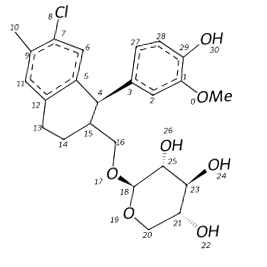 COc1cc([C@@H]2c3cc(Cl)c(C)cc3CCC2CO[C@@H]2OC[C@@H](O)[C@H](O)[C@H]2O)ccc1O